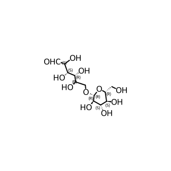 O=C[C@@H](O)[C@@H](O)[C@H](O)[C@H](O)CO[C@@H]1O[C@H](CO)[C@@H](O)[C@H](O)[C@H]1O